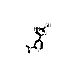 CN(C)c1cc(-c2c[nH]c(S)n2)ccn1